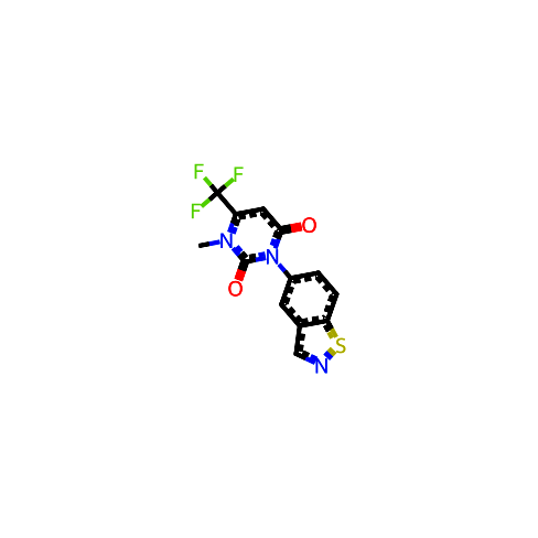 Cn1c(C(F)(F)F)cc(=O)n(-c2ccc3sncc3c2)c1=O